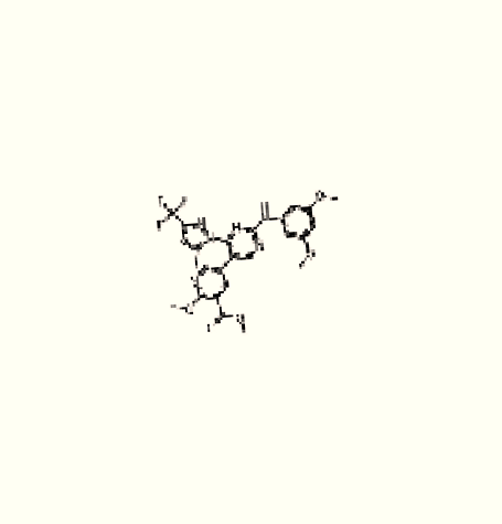 COC(=O)c1cc(-c2cnc(Nc3cc(OC)cc(OC)c3)nc2-n2nc(C(F)(F)F)cc2C)cnc1OC